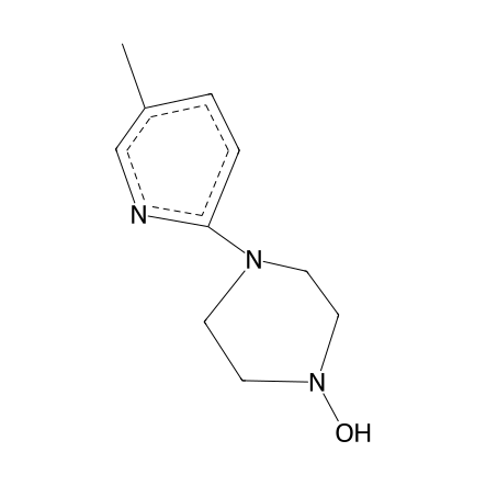 Cc1ccc(N2CCN(O)CC2)nc1